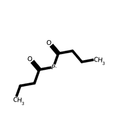 CCCC(=O)[P]C(=O)CCC